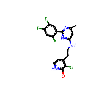 Cc1cc(NCCc2cc[nH]c(=O)c2Cl)nc(-c2cc(F)c(F)cc2F)n1